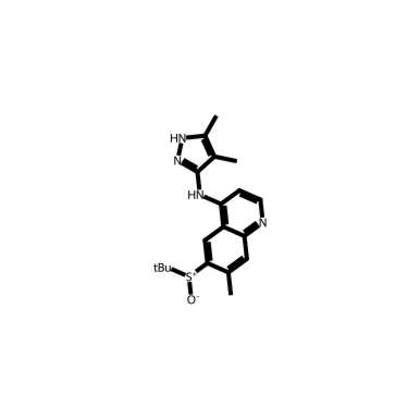 Cc1cc2nccc(Nc3n[nH]c(C)c3C)c2cc1[S+]([O-])C(C)(C)C